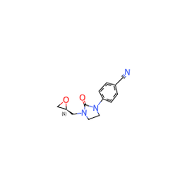 N#Cc1ccc(N2CCN(C[C@H]3CO3)C2=O)cc1